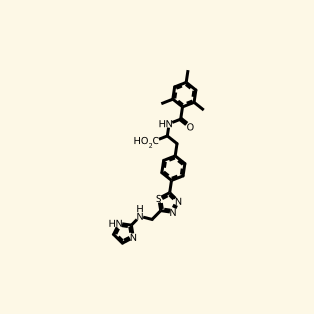 Cc1cc(C)c(C(=O)NC(Cc2ccc(-c3nnc(CNc4ncc[nH]4)s3)cc2)C(=O)O)c(C)c1